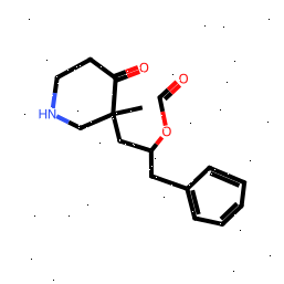 CC1(CC(Cc2ccccc2)OC=O)CNCCC1=O